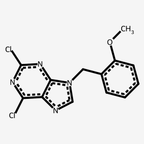 COc1ccccc1Cn1cnc2c(Cl)nc(Cl)nc21